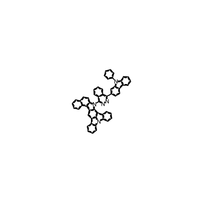 c1ccc(-n2c3ccccc3c3ccc(-c4nnc(-n5c6ccc7ccccc7c6c6cc7c8ccccc8n8c9ccccc9c(c65)c78)c5ccccc45)cc32)cc1